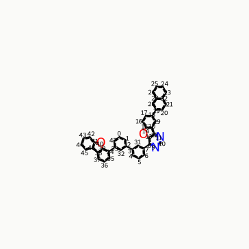 c1cc(-c2cccc(-c3ncnc4c3oc3ccc(-c5ccc6ccccc6c5)cc34)c2)cc(-c2cccc3c2oc2ccccc23)c1